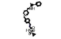 O=C(/C=C/c1ccc(CN2CCC(CN[C@@H]3C[C@H]3c3ccccc3)CC2)cc1)NS(=O)(=O)C1CC1